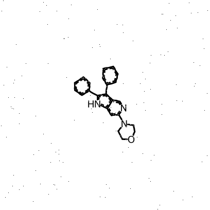 c1ccc(-c2[nH]c3cc(N4CCOCC4)ncc3c2-c2ccccc2)cc1